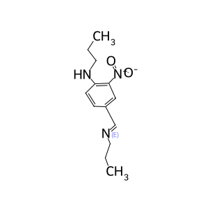 CCC/N=C/c1ccc(NCCC)c([N+](=O)[O-])c1